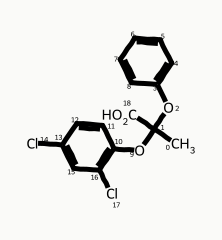 CC(Oc1ccccc1)(Oc1ccc(Cl)cc1Cl)C(=O)O